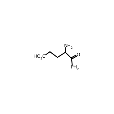 NC(CCC(=O)O)C(=O)P